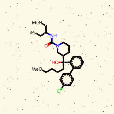 CNCC(CC(C)C)NC(=O)N1CCCC(C(O)(CCCCOC)c2ccccc2-c2ccc(Cl)cc2)C1